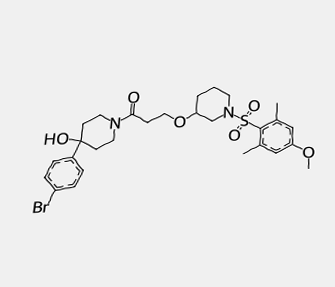 COc1cc(C)c(S(=O)(=O)N2CCCC(OCCC(=O)N3CCC(O)(c4ccc(Br)cc4)CC3)C2)c(C)c1